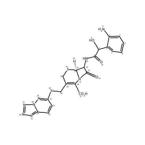 Nc1ccccc1C(O)C(=O)NC1C(=O)N2C(C(=O)O)=C(CSc3ccc4nnnn4n3)CS[C@@H]12